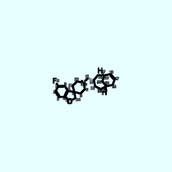 Fc1ccc2c(c1)C1(CCN(C[C@H]3CC[C@H]4CC=C[C@@H](C4)C3)CC1)CO2